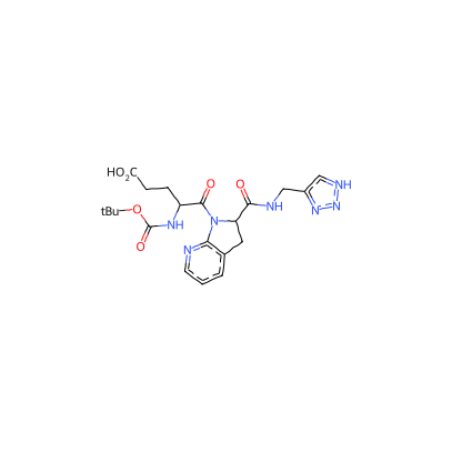 CC(C)(C)OC(=O)NC(CCC(=O)O)C(=O)N1c2ncccc2CC1C(=O)NCc1c[nH]nn1